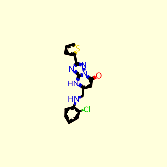 O=c1cc(CNc2ccccc2Cl)[nH]c2nc(-c3cccs3)nn12